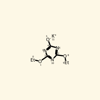 CCOc1nc([O-])nc(OCC)n1.[K+]